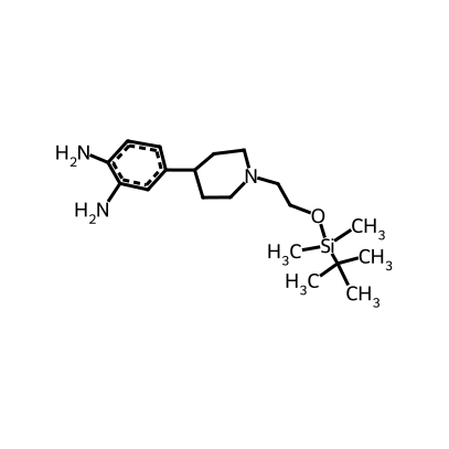 CC(C)(C)[Si](C)(C)OCCN1CCC(c2ccc(N)c(N)c2)CC1